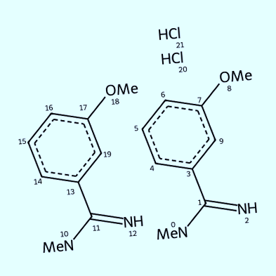 CNC(=N)c1cccc(OC)c1.CNC(=N)c1cccc(OC)c1.Cl.Cl